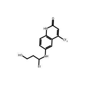 CCC(CCO)Nc1ccc2[nH]c(=O)cc(C(F)(F)F)c2c1